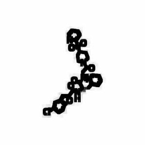 O=C(N[C@@H](Cc1ccccn1)C(=O)NCC(=O)N1CCC(S(=O)(=O)c2ccccn2)CC1)c1cc2cc(Cl)ccc2o1